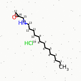 CCCCCCCCCCCCCCNCC1CO1.Cl